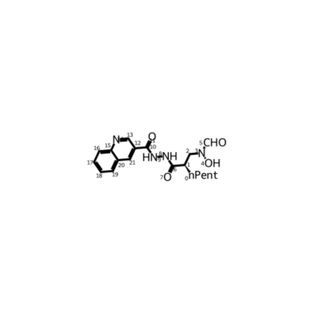 CCCCC[C@H](CN(O)C=O)C(=O)NNC(=O)c1cnc2ccccc2c1